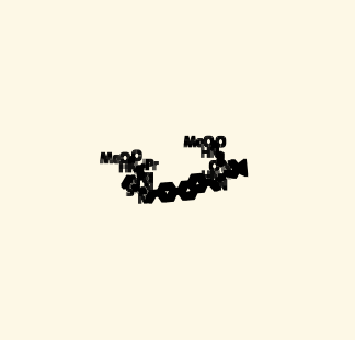 COC(=O)NCC(=O)N1CC2(CC2)C[C@H]1c1ncc(-c2ccc3cc(-c4ccc(-c5cnc([C@@H]6SCCN6C(=O)[C@@H](NC(=O)OC)C(C)C)[nH]5)cc4)ccc3c2)[nH]1